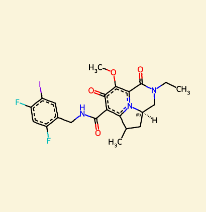 CCN1C[C@H]2CC(C)c3c(C(=O)NCc4cc(I)c(F)cc4F)c(=O)c(OC)c(n32)C1=O